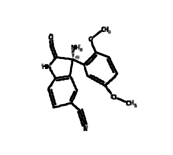 COc1ccc(OC)c([C@]2(N)C(=O)Nc3ccc(C#N)cc32)c1